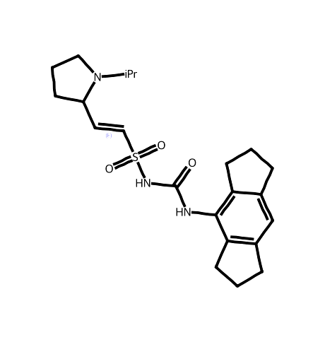 CC(C)N1CCCC1/C=C/S(=O)(=O)NC(=O)Nc1c2c(cc3c1CCC3)CCC2